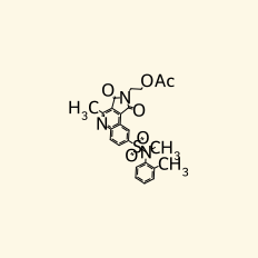 CC(=O)OCCN1C(=O)c2c(C)nc3ccc(S(=O)(=O)N(C)c4ccccc4C)cc3c2C1=O